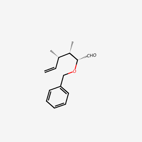 C=C[C@H](C)[C@H](C)[C@H](C=O)OCc1ccccc1